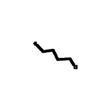 [S]CCCCCl